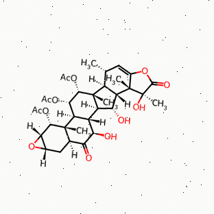 CC(=O)O[C@H]1[C@H]2[C@H]([C@@H]3[C@@H](O)[C@@H]4[C@H]([C@H](C)C=C5OC(=O)[C@@](C)(O)[C@@]54C)[C@@]3(C)[C@H]1OC(C)=O)[C@@H](O)C(=O)[C@H]1C[C@@H]3O[C@@H]3[C@H](OC(C)=O)[C@]21C